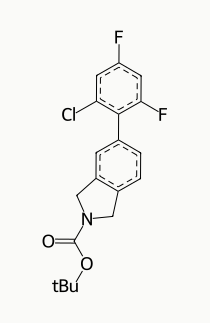 CC(C)(C)OC(=O)N1Cc2ccc(-c3c(F)cc(F)cc3Cl)cc2C1